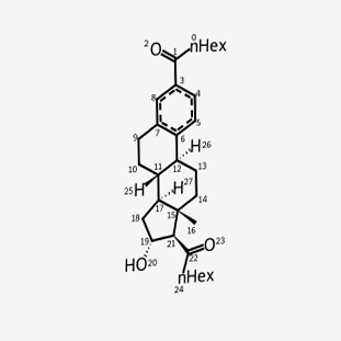 CCCCCCC(=O)c1ccc2c(c1)CC[C@@H]1[C@@H]2CC[C@@]2(C)[C@H]1C[C@@H](O)[C@@H]2C(=O)CCCCCC